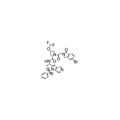 C[C@@H](NC(=O)C1CC(OC(F)F)CN1C(=O)CN1Cc2cc(Br)ccc2C1=O)c1cc2cnccc2n1S(=O)(=O)c1ccccc1